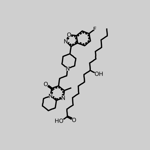 CCCCCCCC(O)CCCCCCCC(=O)O.Cc1nc2n(c(=O)c1CCN1CCC(c3noc4cc(F)ccc34)CC1)CCCC2